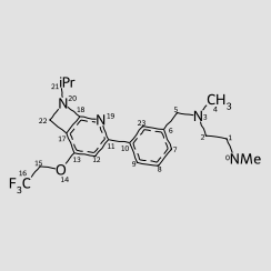 CNCCN(C)Cc1cccc(-c2cc(OCC(F)(F)F)c3c(n2)N(C(C)C)C3)c1